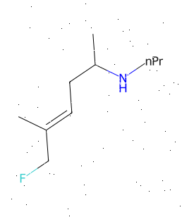 CCCNC(C)C/C=C(\C)CF